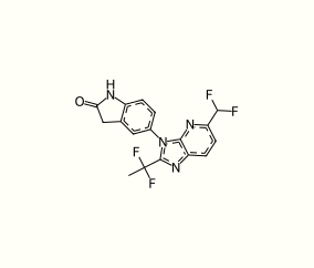 CC(F)(F)c1nc2ccc(C(F)F)nc2n1-c1ccc2c(c1)CC(=O)N2